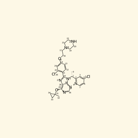 C[C@H](c1cc(Cl)ccn1)n1c(-c2ccc(OCCN3CCNCC3)cc2Cl)nc2c(OC3(C)CC3)ncnc21